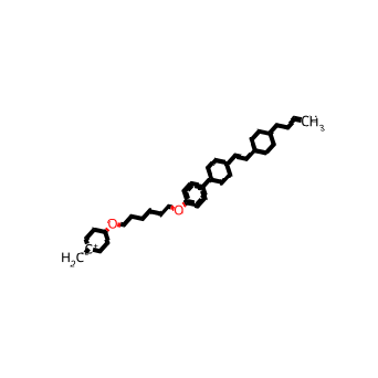 [CH2-][C+]1CCC(OCCCCCCOc2ccc(C3CCC(CCC4CCC(CCCC)CC4)CC3)cc2)CC1